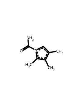 Cc1cn(C(N)=O)c(C)c1C